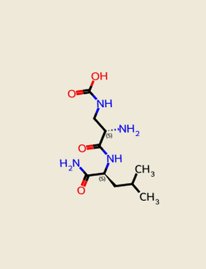 CC(C)C[C@H](NC(=O)[C@@H](N)CNC(=O)O)C(N)=O